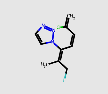 C=C(Cl)/C=C\C(=C(\C)CF)n1ccnn1